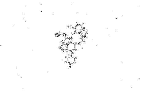 CC(C)(C)OC(=O)N1Cc2c(F)ccc3c2[C@H](CO3)COc2cc(C3CCNCC3)c3nncn3c21